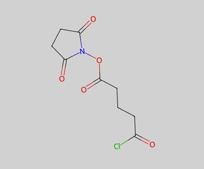 O=C(Cl)CCCC(=O)ON1C(=O)CCC1=O